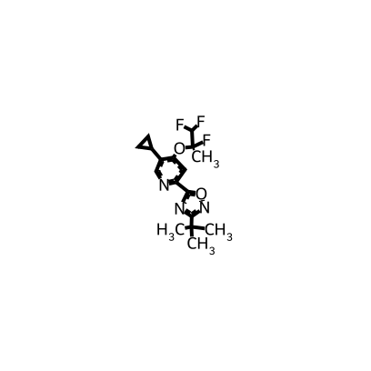 CC(C)(C)c1noc(-c2cc(O[C@](C)(F)C(F)F)c(C3CC3)cn2)n1